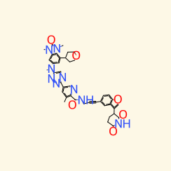 Cc1cc(-c2ncc(N(C)c3cc(C4CCOCC4)c4c(c3)n(C)c(=O)n4C)nn2)cnc1C(=O)NCC#Cc1ccc2occ(C3CCC(=O)NC3=O)c2c1